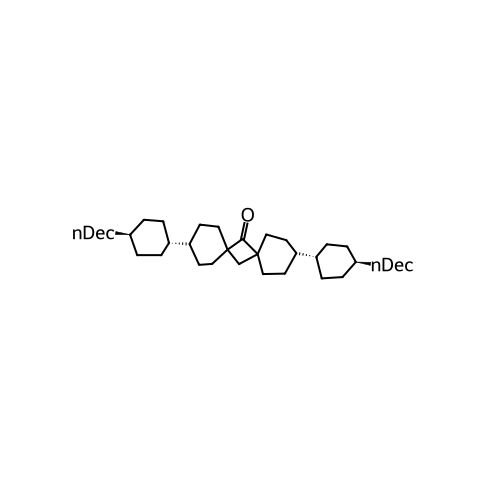 CCCCCCCCCC[C@H]1CC[C@H](C2CCC3(CC2)CC2(CCC([C@H]4CC[C@H](CCCCCCCCCC)CC4)CC2)C3=O)CC1